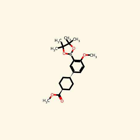 COc1ccc([C@H]2CC[C@H](C(=O)OC)CC2)cc1B1OC(C)(C)C(C)(C)O1